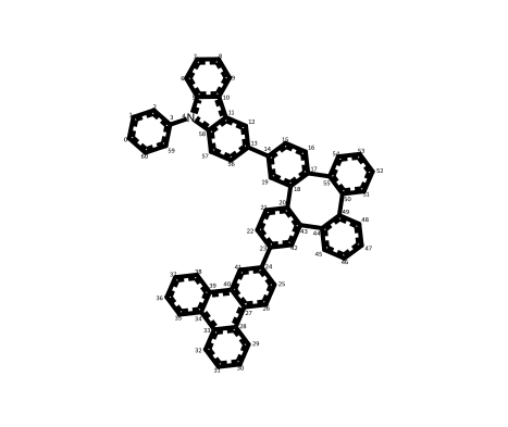 c1ccc(-n2c3ccccc3c3cc(-c4ccc5c(c4)-c4ccc(-c6ccc7c8ccccc8c8ccccc8c7c6)cc4-c4ccccc4-c4ccccc4-5)ccc32)cc1